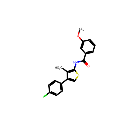 O=C(Nc1scc(-c2ccc(Cl)cc2)c1C(=O)O)c1cccc(OC(F)(F)F)c1